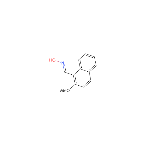 COc1ccc2ccccc2c1C=NO